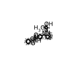 C[C@H]1[C@H](O)CN1c1nc(-c2ccc3c(c2)OC[C@@H]3NS(=O)(=O)c2ccccc2)c2c(n1)C(F)(F)CC2